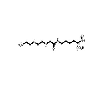 CCN[C@@H](CCCCNC(=O)COCCOCCN)C(=O)O